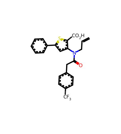 C=CCN(C(=O)Cc1ccc(C(F)(F)F)cc1)c1cc(-c2ccccc2)sc1C(=O)O